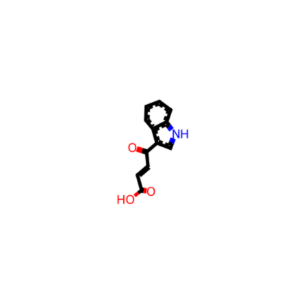 O=C(O)C=CC(=O)c1c[nH]c2ccccc12